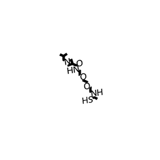 CC(C)CN1CC(C(=O)NCCOCCOCCNC(C)S)C1